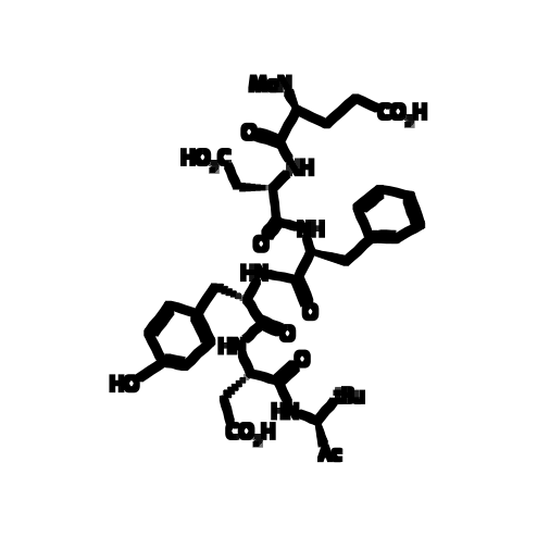 CN[C@@H](CCC(=O)O)C(=O)N[C@@H](CC(=O)O)C(=O)N[C@@H](Cc1ccccc1)C(=O)N[C@@H](Cc1ccc(O)cc1)C(=O)N[C@@H](CC(=O)O)C(=O)N[C@H](C(C)=O)C(C)(C)C